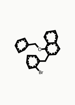 Brc1ccccc1Cc1ccc2ccccc2c1OCc1ccccc1